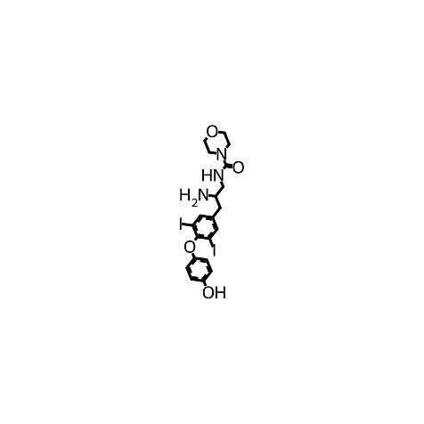 NC(CNC(=O)N1CCOCC1)Cc1cc(I)c(Oc2ccc(O)cc2)c(I)c1